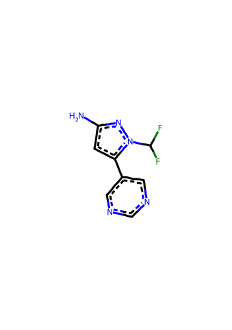 Nc1cc(-c2cncnc2)n(C(F)F)n1